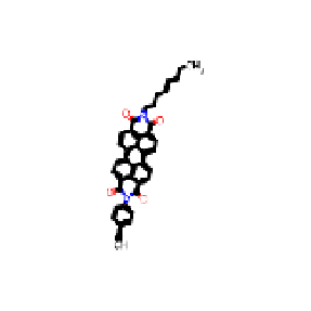 C#Cc1ccc(N2C(=O)c3ccc4c5ccc6c7c(ccc(c8ccc(c3c48)C2=O)c75)C(=O)N(CCCCCCCC)C6=O)cc1